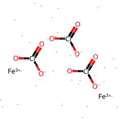 [Fe+3].[Fe+3].[O]=[Cr]([O-])[O-].[O]=[Cr]([O-])[O-].[O]=[Cr]([O-])[O-]